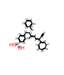 C#C/C(=C\C=C(/C)[C@@H](Cc1ccccc1)Cc1ccc(B(O)O)cc1)C1=CCC=CC=C1